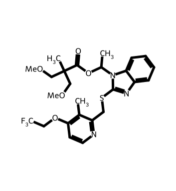 COCC(C)(COC)C(=O)OC(C)n1c(SCc2nccc(OCC(F)(F)F)c2C)nc2ccccc21